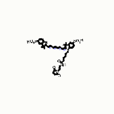 CC1(C)C(/C=C/C=C/C=C/C=C2/N(CCCCCC(=O)NCCN3C(=O)C=CC3=O)c3ccc(S(=O)(=O)O)cc3C2(C)C)=Nc2ccc(S(=O)(=O)O)cc21